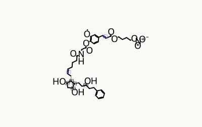 COc1cc(/C=C/C(=O)OCCCCO[N+](=O)[O-])ccc1OC(=O)CNC(=O)CCC/C=C\C[C@@H]1[C@@H](CC[C@@H](O)CCc2ccccc2)[C@H](O)C[C@@H]1O